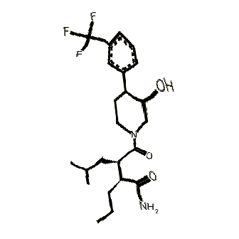 CCC[C@H](C(N)=O)[C@@H](CC(C)C)C(=O)N1CCC(c2cccc(C(F)(F)F)c2)C(O)C1